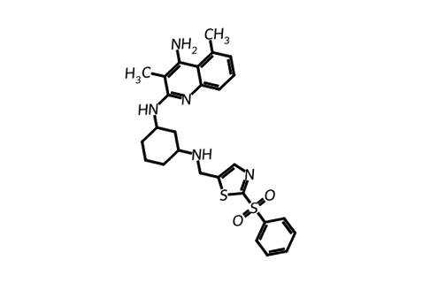 Cc1c(NC2CCCC(NCc3cnc(S(=O)(=O)c4ccccc4)s3)C2)nc2cccc(C)c2c1N